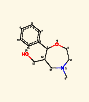 CN1CCOC(c2ccccc2)C(CO)C1